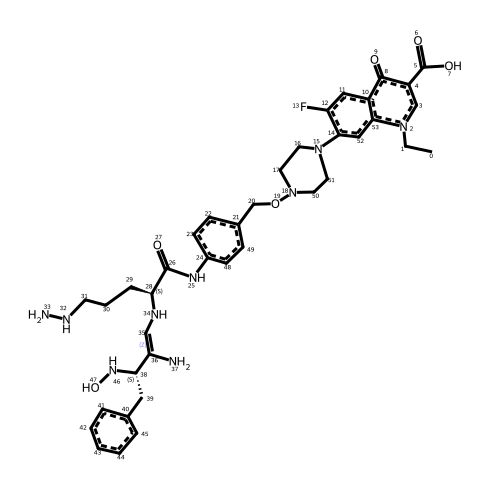 CCn1cc(C(=O)O)c(=O)c2cc(F)c(N3CCN(OCc4ccc(NC(=O)[C@H](CCCNN)N/C=C(\N)[C@H](Cc5ccccc5)NO)cc4)CC3)cc21